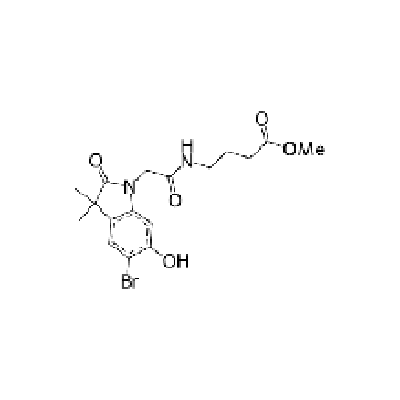 COC(=O)CCCNC(=O)CN1C(=O)C(C)(C)c2cc(Br)c(O)cc21